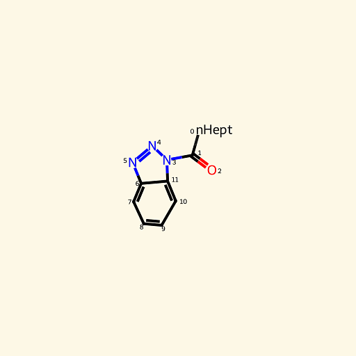 CCCCCCCC(=O)n1nnc2ccccc21